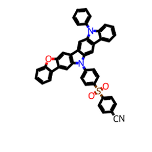 N#Cc1ccc(S(=O)(=O)c2ccc(-n3c4cc5c(cc4c4cc6c(cc43)c3ccccc3n6-c3ccccc3)oc3ccccc35)cc2)cc1